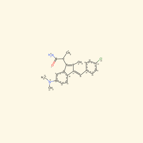 CC1=C(C(C)C(N)=O)c2cc(N(C)C)ccc2C1=Cc1ccc(Cl)cc1